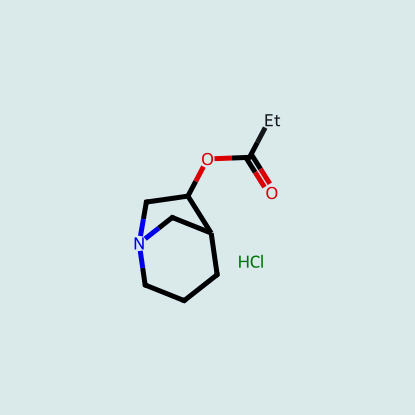 CCC(=O)OC1CN2CCCC1C2.Cl